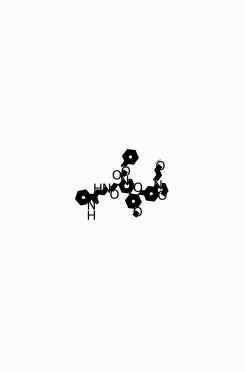 COCCCN1CCOc2ccc(CO[C@H]3CN(C(=O)OCc4ccccc4)[C@H](CC(=O)NCCc4c[nH]c5ccccc45)C[C@@H]3c3ccc(OC)cc3)cc21